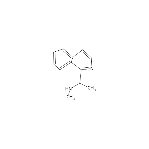 CNC(C)c1nccc2ccccc12